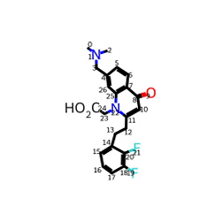 CN(C)Cc1ccc2c(=O)cc(CCc3cccc(F)c3F)n(CC(=O)O)c2c1